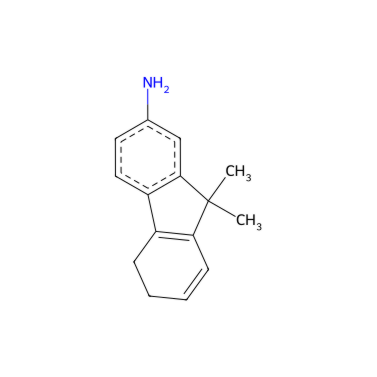 CC1(C)C2=C(CCC=C2)c2ccc(N)cc21